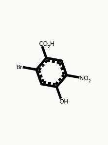 O=C(O)c1cc([N+](=O)[O-])c(O)cc1Br